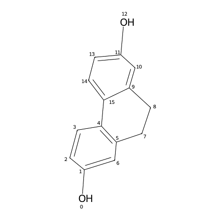 Oc1ccc2c(c1)CCc1cc(O)ccc1-2